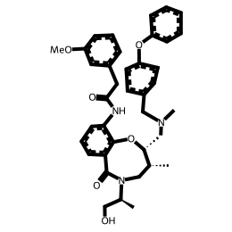 COc1cccc(CC(=O)Nc2cccc3c2O[C@H](CN(C)Cc2ccc(Oc4ccccc4)cc2)[C@H](C)CN([C@@H](C)CO)C3=O)c1